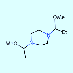 CCC(OC)N1CCN(C(C)OC)CC1